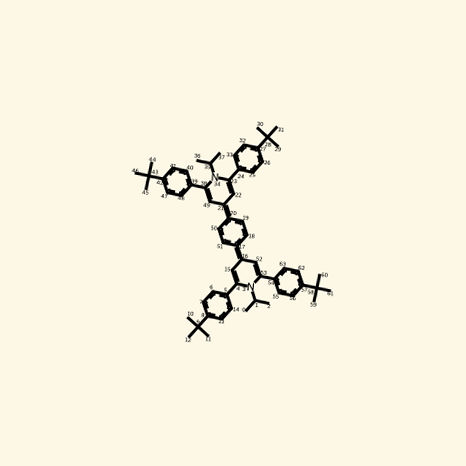 CC(C)N1C(c2ccc(C(C)(C)C)cc2)=CC(=c2ccc(=C3C=C(c4ccc(C(C)(C)C)cc4)N(C(C)C)C(c4ccc(C(C)(C)C)cc4)=C3)cc2)C=C1c1ccc(C(C)(C)C)cc1